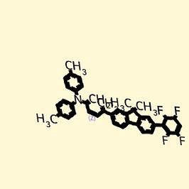 C=C(/C=C\C(=C)N(c1ccc(C)cc1)c1ccc(C)cc1)c1ccc2c(c1)C(C)(C)c1cc(C3=C(F)C(F)=CC(F)C3F)ccc1-2